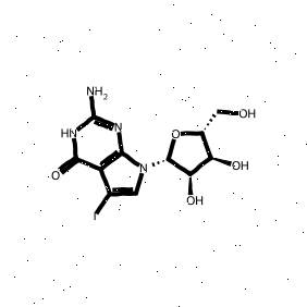 Nc1nc2c(c(I)cn2[C@@H]2O[C@H](CO)[C@@H](O)[C@H]2O)c(=O)[nH]1